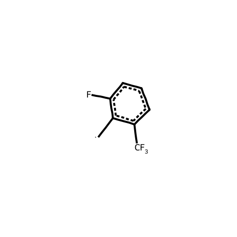 [CH2]c1c(F)cccc1C(F)(F)F